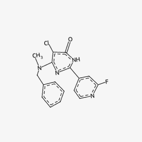 CN(Cc1ccccc1)c1nc(-c2ccnc(F)c2)[nH]c(=O)c1Cl